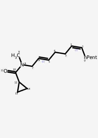 CCCCC/C=C\CC/C=C/CN(C)C(=O)C1CC1